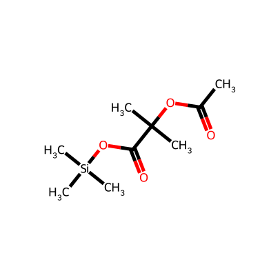 CC(=O)OC(C)(C)C(=O)O[Si](C)(C)C